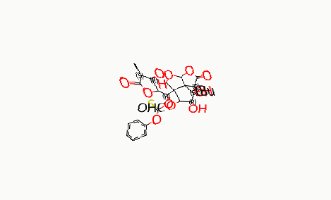 C[C@@H]1C(=O)OC([C@H](OC(=S)Oc2ccccc2)C23COC4OC(=O)[C@H](O)C42[C@H](C(C)(C)C)[C@@H](O)C3OC=O)[C@@H]1O